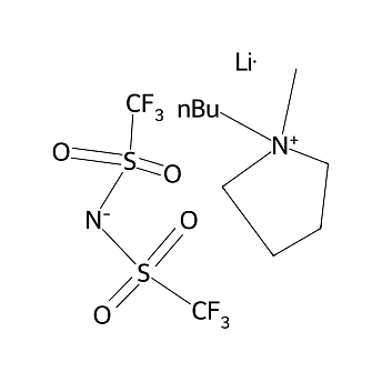 CCCC[N+]1(C)CCCC1.O=S(=O)([N-]S(=O)(=O)C(F)(F)F)C(F)(F)F.[Li]